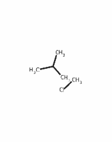 CC(C)C.CCl